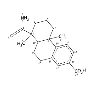 CC1(C(N)=O)CCCC2(C)c3ccc(C(=O)O)cc3CCC12